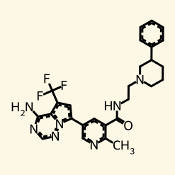 Cc1ncc(-c2cc(C(F)(F)F)c3c(N)ncnn23)cc1C(=O)NCCN1CCCC(c2ccccc2)C1